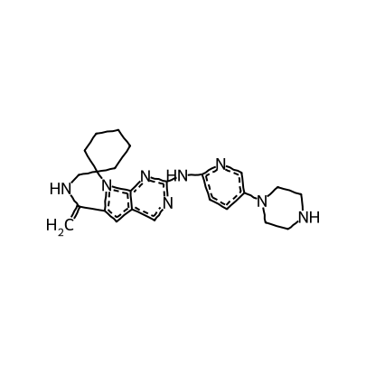 C=C1NCC2(CCCCC2)n2c1cc1cnc(Nc3ccc(N4CCNCC4)cn3)nc12